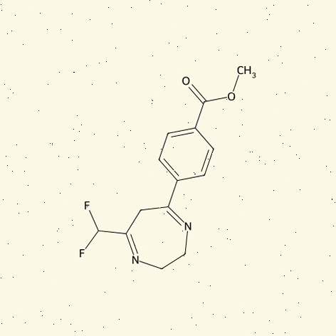 COC(=O)c1ccc(C2=NCCN=C(C(F)F)C2)cc1